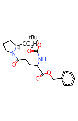 CC(C)(C)OC(=O)NC(CCC(=O)N1CCC[C@H]1C(=O)O)C(=O)OCc1ccccc1